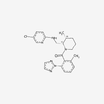 Cc1cccc(-n2nccn2)c1C(=O)N1CCC[C@@H](C)[C@H]1CNc1ccc(Cl)cn1